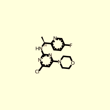 C[C@H](Nc1nc(Cl)cc(N2CCOCC2)n1)c1ccc(F)cn1